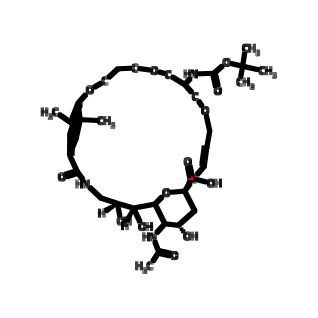 CC(=O)NC1C2O[C@](C(=O)O)(C/C=C/COCC(NC(=O)OC(C)(C)C)COCCCOc3c(C)cc(cc3C)C(=O)NC[C@@H](O)[C@H]2O)C[C@@H]1O